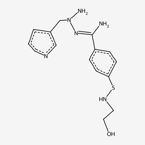 N/C(=N\N(N)Cc1cccnc1)c1ccc(SNCCO)cc1